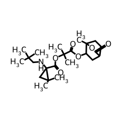 CC(C)(C)CNC1(C(=O)OC(C)(C)C(=O)OC2CC3CCC2(C)OC3=O)CC1(C)C